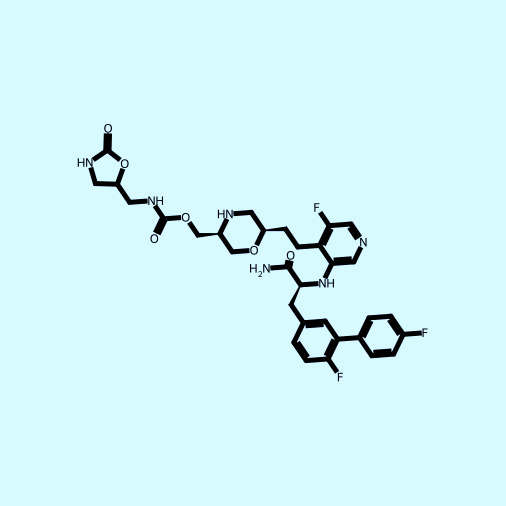 NC(=O)[C@H](Cc1ccc(F)c(-c2ccc(F)cc2)c1)Nc1cncc(F)c1CC[C@@H]1CN[C@H](COC(=O)NCC2CNC(=O)O2)CO1